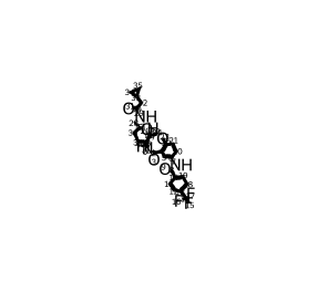 CN1C(=O)c2cc(NC(=O)c3ccc(C(F)(F)F)cc3)ccc2OC[C@@H]2O[C@H](CNC(=O)CC3CC3)CC[C@@H]21